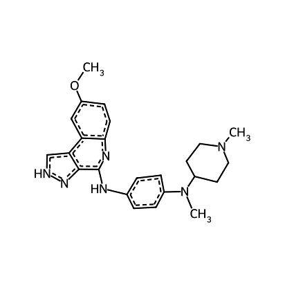 COc1ccc2nc(Nc3ccc(N(C)C4CCN(C)CC4)cc3)c3n[nH]cc3c2c1